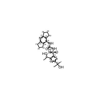 CC(O)c1nc(C(C)(C)O)sc1S(=N)(=O)NC(=O)Nc1c2c(nc3c1CCC3)CCC2